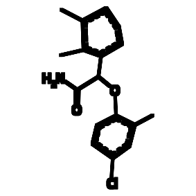 Cc1cc(Cl)ccc1OC(C(N)=O)c1cccc(C)c1C